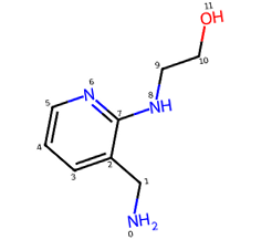 NCc1cccnc1NCCO